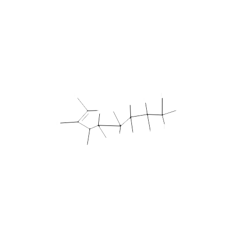 FC1=C(F)C(F)C(F)(C(F)(F)C(F)(F)C(F)(F)C(F)(F)C(F)(F)F)O1